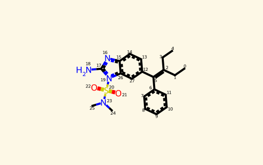 CCC(CC)=C(c1ccccc1)c1ccc2nc(N)n(S(=O)(=O)N(C)C)c2c1